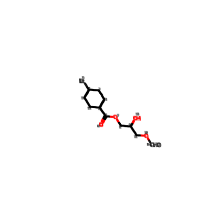 CCC1CCC(C(=O)OCC(O)COC=O)CC1